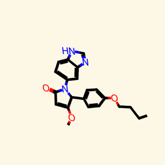 CCCCOc1ccc(C2C(OC)=CC(=O)N2c2ccc3[nH]cnc3c2)cc1